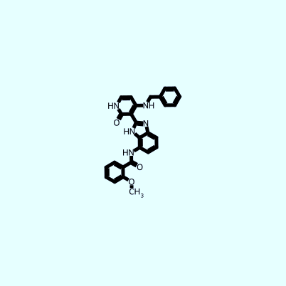 COc1ccccc1C(=O)Nc1cccc2nc(-c3c(NCc4ccccc4)cc[nH]c3=O)[nH]c12